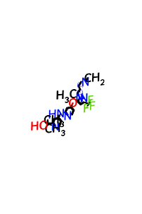 C=N/C=C\C=C(/C)n1nc(C(F)(F)F)cc1Oc1ccnc(Nc2ccnc(C(C)(C)O)c2)c1